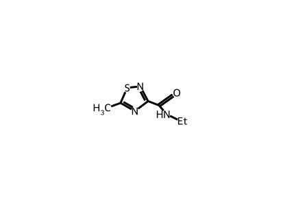 CCNC(=O)c1nsc(C)n1